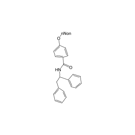 CCCCCCCCCOc1ccc(C(=O)NC(Cc2ccccc2)c2ccccc2)cc1